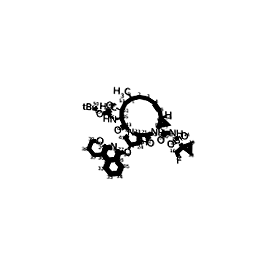 C[C@@H]1CC/C=C\[C@@H]2C[C@@]2(C(=O)NS(=O)(=O)C2(CF)CC2)NC(=O)[C@@H]2C[C@@H](Oc3nc4c(c5ccccc35)CCCO4)CN2C(=O)[C@@H](NC(=O)OC(C)(C)C)[C@H](C)C1